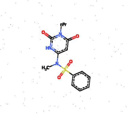 CCCn1c(=O)cc(N(C)S(=O)(=O)c2ccccc2)[nH]c1=O